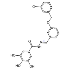 O=C(N/N=C/c1cccc(OCc2cccc(Cl)c2)c1)c1cc(O)c(O)c(O)c1